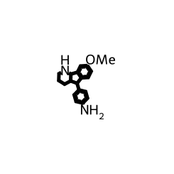 COc1ccc2c(c1)C1NCCCC1C2c1ccc(N)cc1